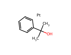 CC(C)(O)c1ccccc1.[Pt]